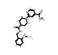 COc1ccccc1CNC(=O)C1CCN(c2cc(C(N)=O)ccn2)CC1